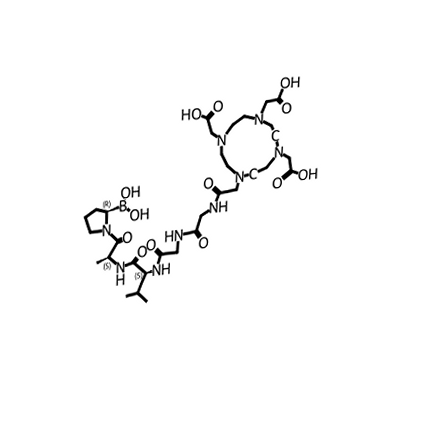 CC(C)[C@H](NC(=O)CNC(=O)CNC(=O)CN1CCN(CC(=O)O)CCN(CC(=O)O)CCN(CC(=O)O)CC1)C(=O)N[C@@H](C)C(=O)N1CCC[C@H]1B(O)O